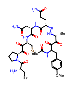 CCCCC(=O)NC(Cc1ccc(OC)cc1)C(=O)C(=O)C(NN[C@@H](CCC(N)=O)C(=O)N[C@@H](CC(N)=O)C(=O)N[C@@H](CS)C(=O)C(=O)[C@@H]1CCCN1C(=O)[C@@H](N)CC(C)C)[C@@H](C)CC